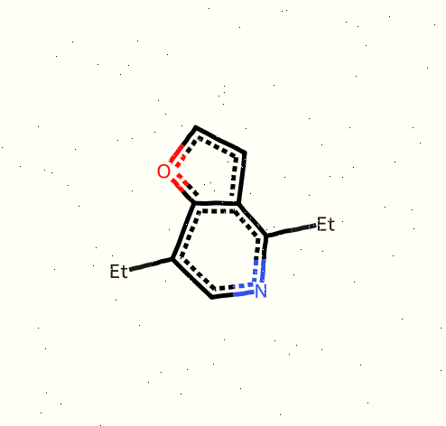 CCc1ncc(CC)c2occc12